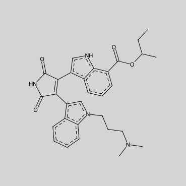 CCC(C)OC(=O)c1cccc2c(C3=C(c4cn(CCCN(C)C)c5ccccc45)C(=O)NC3=O)c[nH]c12